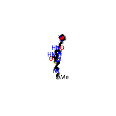 COCCn1cc(-c2cn3nc4c5ncc(NC(=O)CCN6CC7CCC6CC7)cc5[nH]c(=O)c4c3s2)cn1